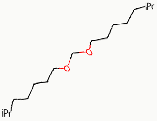 CC(C)CCCCCOCOCCCCCC(C)C